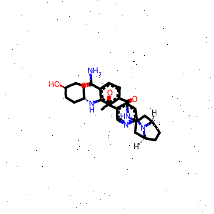 CC(=O)c1ccc(N2[C@@H]3CC[C@H]2C[C@@H](NC(=O)c2ccc(C(N)=O)c(N[C@H]4CC[C@H](O)CC4)c2)C3)nc1